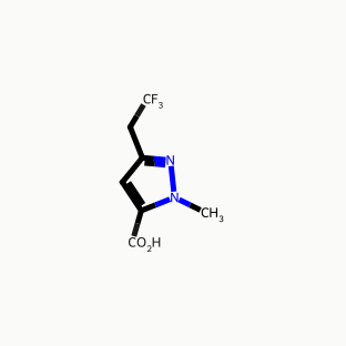 Cn1nc(CC(F)(F)F)cc1C(=O)O